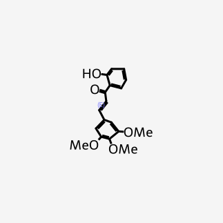 COc1cc(/C=C/C(=O)c2ccccc2O)cc(OC)c1OC